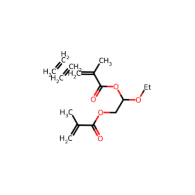 C=C.C=C.C=C(C)C(=O)OCC(OCC)OC(=O)C(=C)C